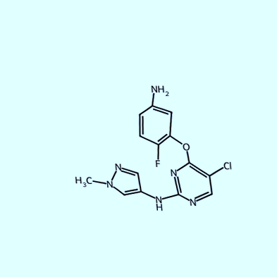 Cn1cc(Nc2ncc(Cl)c(Oc3cc(N)ccc3F)n2)cn1